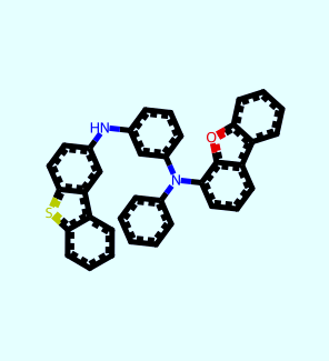 c1ccc(N(c2cccc(Nc3ccc4sc5ccccc5c4c3)c2)c2cccc3c2oc2ccccc23)cc1